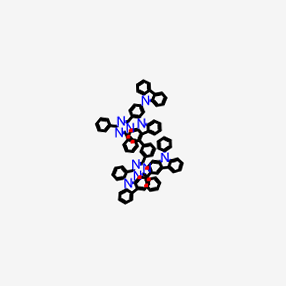 c1ccc(-c2nc(-c3cccc(-c4cccc5c4c4ccccc4n5-c4cc(-n5c6ccccc6c6ccccc65)ccc4-c4nc(-c5ccccc5)nc(-c5ccccc5)n4)c3)nc(-c3ccccc3-n3c4ccccc4c4ccc(-c5ccc6c(c5)c5ccccc5n6-c5ccccc5)cc43)n2)cc1